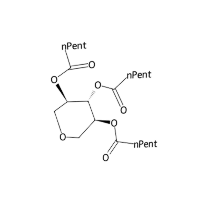 CCCCCC(=O)O[C@@H]1[C@@H](OC(=O)CCCCC)COC[C@H]1OC(=O)CCCCC